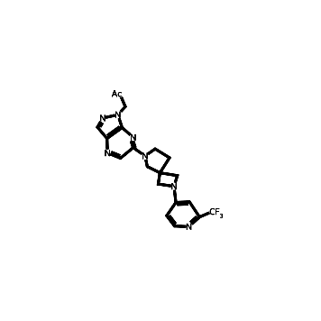 CC(=O)Cn1ncc2ncc(N3CCC4(CN(c5ccnc(C(F)(F)F)c5)C4)C3)nc21